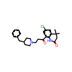 CC1(C)CC(=O)Nc2c(C(=O)CCN3CCC(Cc4ccccc4)CC3)cc(Cl)cc21